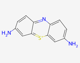 Nc1ccc2nc3ccc(N)cc3[s+]c2c1